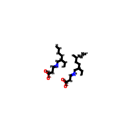 CCCCC(CC)CN=CCC(=O)[O-].CCCCC(CC)CN=CCC(=O)[O-].[Na+].[Na+]